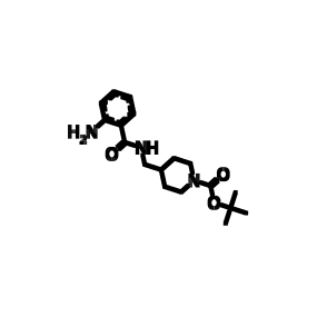 CC(C)(C)OC(=O)N1CCC(CNC(=O)c2ccccc2N)CC1